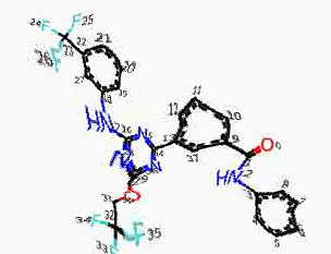 O=C(Nc1ccccc1)c1cccc(-c2nc(Nc3cccc(C(F)(F)F)c3)nc(OCC(F)(F)F)n2)c1